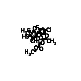 CCOC(=O)COC(=O)C(C)Oc1cc(N2C(=O)N(C)C(S)N(C)C2=O)c(F)cc1Cl